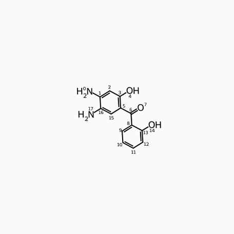 Nc1cc(O)c(C(=O)c2ccccc2O)cc1N